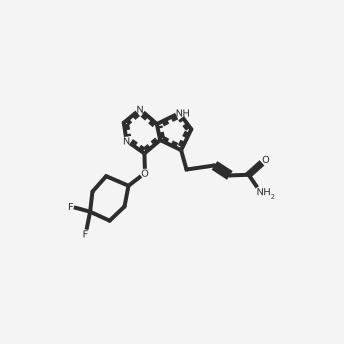 NC(=O)C#CCc1c[nH]c2ncnc(OC3CCC(F)(F)CC3)c12